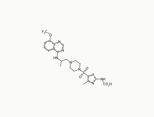 Cc1nc(NC(=O)O)sc1S(=O)(=O)N1CCN(CC(C)Nc2ncnc3c(OC(F)(F)F)cccc23)CC1